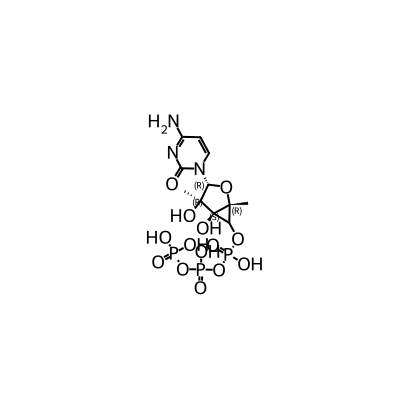 C[C@]1(O)[C@H](n2ccc(N)nc2=O)O[C@]2(C)C(OP(=O)(O)OP(=O)(O)OP(=O)(O)O)[C@]12O